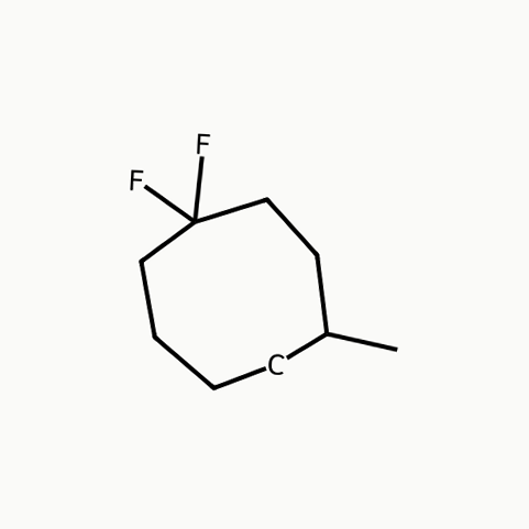 CC1CCCCC(F)(F)CC1